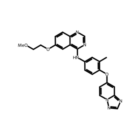 COCCOc1ccc2ncnc(Nc3ccc(Oc4ccn5ncnc5c4)c(C)c3)c2c1